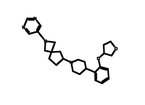 c1ccc(C2CCN(C3CCC4(C3)CN(c3cncnc3)C4)CC2)c(OC2CCOC2)c1